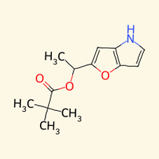 CC(OC(=O)C(C)(C)C)c1cc2[nH]ccc2o1